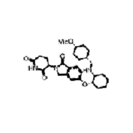 CO[C@H]1CC[C@@H](CN[C@H]2CCCC[C@@H]2Oc2ccc3c(c2)CN(C2CCC(=O)NC2=O)C3=O)CC1